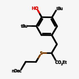 CCCCCCCCCCCCSC(Cc1cc(C(C)(C)C)c(O)c(C(C)(C)C)c1)C(=O)OCC